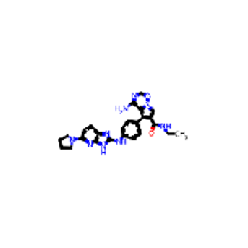 CCNC(=O)c1cn2ncnc(N)c2c1-c1ccc(Nc2nc3ccc(N4CCCC4)nc3[nH]2)cc1